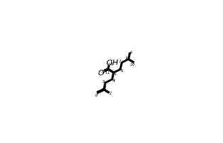 C=C(C)CCC(CCC(C)C)C(=O)O